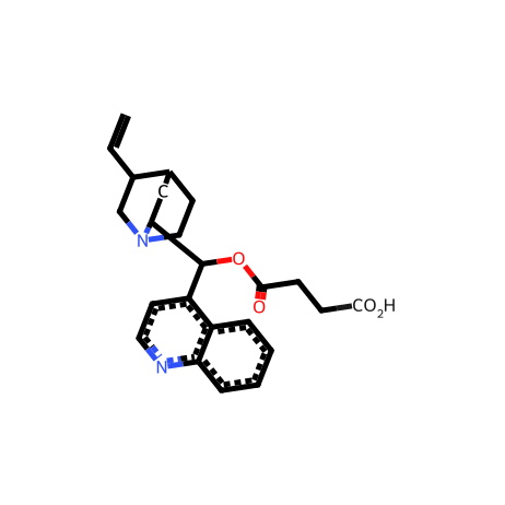 C=CC1CN2CCC1CC2C(OC(=O)CCC(=O)O)c1ccnc2ccccc12